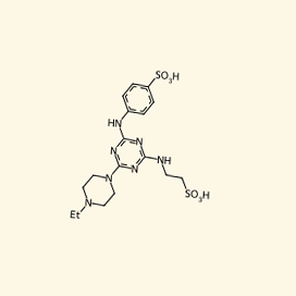 CCN1CCN(c2nc(NCCS(=O)(=O)O)nc(Nc3ccc(S(=O)(=O)O)cc3)n2)CC1